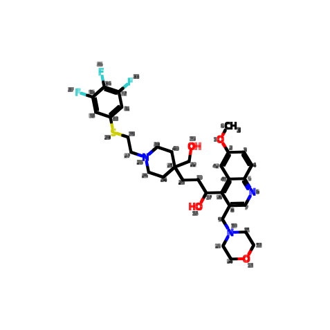 COc1ccc2ncc(CN3CCOCC3)c(C(O)CCC3(CO)CCN(CCSc4cc(F)c(F)c(F)c4)CC3)c2c1